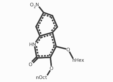 CCCCCCCCOc1c(OCCCCCC)c2ccc([N+](=O)[O-])cc2[nH]c1=O